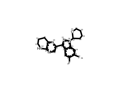 Fc1cc2c(-c3cnc4c(n3)CCCN4)nn(C3CCCCO3)c2cc1F